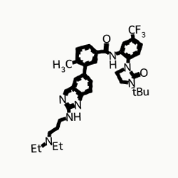 CCN(CC)CCCNc1ncc2cc(-c3cc(C(=O)Nc4cc(C(F)(F)F)ccc4N4CCN(C(C)(C)C)C4=O)ccc3C)ccc2n1